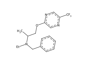 CCN(Cc1ccccc1)C(C)COc1cnc(C(F)(F)F)cn1